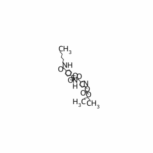 CCCCCCNC(=O)c1ccc(S(=O)(=O)NC(=O)c2ccc(OC(=O)OC(CC)CC)nc2)cc1